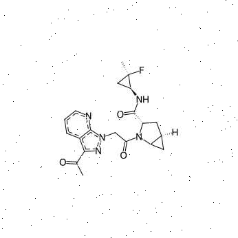 CC(=O)c1nn(CC(=O)N2C3C[C@@H]3C[C@H]2C(=O)N[C@H]2C[C@@]2(C)F)c2ncccc12